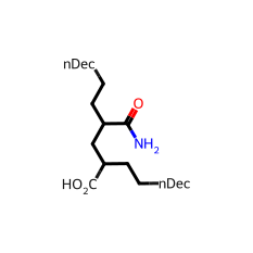 CCCCCCCCCCCCC(CC(CCCCCCCCCCCC)C(=O)O)C(N)=O